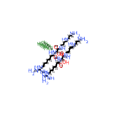 Cl.Cl.Cl.Cl.Cl.Cl.N=C(N)NCCCCCCC(=O)NC(O)C(=O)NCCCCNCCCN.N=C(N)NCCCCCCC(=O)NC(O)C(=O)NCCCCNCCCN